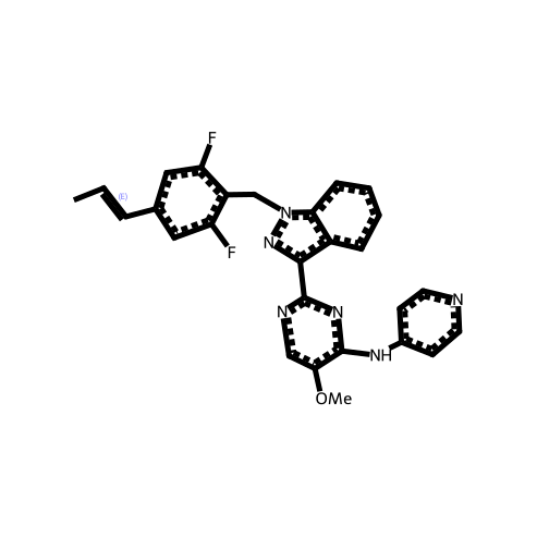 C/C=C/c1cc(F)c(Cn2nc(-c3ncc(OC)c(Nc4ccncc4)n3)c3ccccc32)c(F)c1